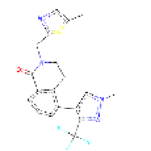 Cc1cnc(CN2CCc3c(cccc3-c3cn(C)nc3C(F)(F)F)C2=O)s1